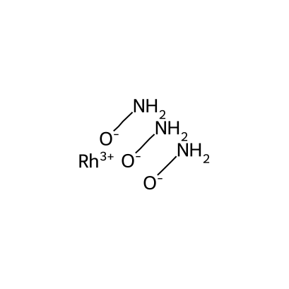 N[O-].N[O-].N[O-].[Rh+3]